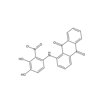 O=C1c2ccccc2C(=O)c2c(Nc3ccc(O)c(O)c3[N+](=O)[O-])cccc21